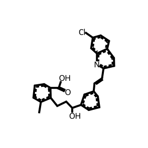 Cc1cccc(C(=O)O)c1CCC(O)c1cccc(C=Cc2ccc3ccc(Cl)cc3n2)c1